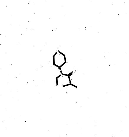 CCN(C(=O)C(C)C)C1CCOCC1